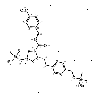 CC(C)(C)[Si](C)(C)OCc1ccc(CC[C@@H]2C[C@@H](O[Si](C)(C)C(C)(C)C)CN2C(=O)OCc2ccc([N+](=O)[O-])cc2)cc1